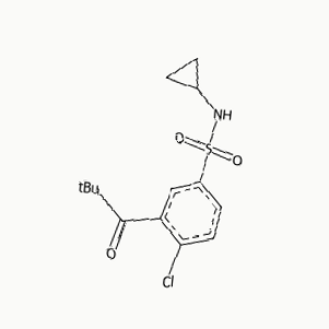 CC(C)(C)C(=O)c1cc(S(=O)(=O)NC2CC2)ccc1Cl